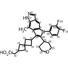 Cc1c2[nH]ncc2cc2c1c(C1CC3(CC(CC(=O)O)C3)C1)c(C1CCOCC1)n2-c1ccc(F)c(F)c1